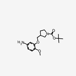 COc1ccc(N)cc1OCC1CCN(C(=O)OC(C)(C)C)C1